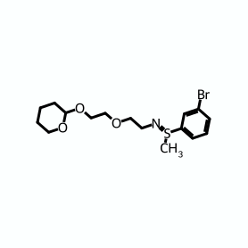 C/S(=N\CCOCCOC1CCCCO1)c1cccc(Br)c1